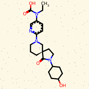 CCN(C(=O)O)c1ccc(N2CCC[C@]3(CCN(C4CCC(O)CC4)C3=O)C2)nc1